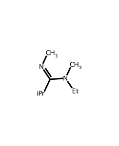 CCN(C)/C(=N\C)C(C)C